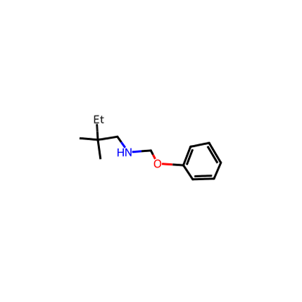 CCC(C)(C)CNCOc1ccccc1